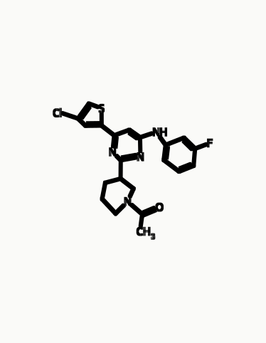 CC(=O)N1CCCC(c2nc(Nc3cccc(F)c3)cc(-c3cc(Cl)cs3)n2)C1